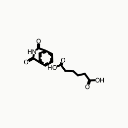 O=C(O)CCCCC(=O)O.O=C1NC(=O)c2cccc1c2